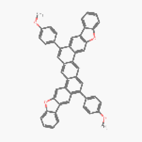 COc1ccc(-c2cc3cc4c(cc(-c5ccc(OC)cc5)c5cc6c(cc54)oc4ccccc46)cc3c3cc4oc5ccccc5c4cc23)cc1